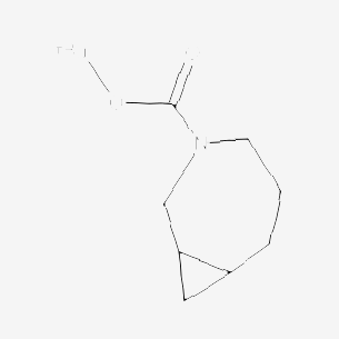 CC(C)(C)OC(=O)N1CCCC2CC2C1